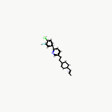 C/C=C/C1CCC(CCc2ccc(-c3ccc(Cl)c(F)c3)nc2)CC1